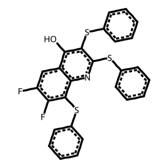 Oc1c(Sc2ccccc2)c(Sc2ccccc2)nc2c(Sc3ccccc3)c(F)c(F)cc12